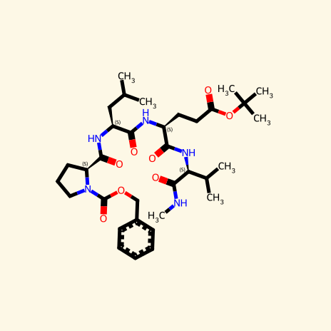 CNC(=O)[C@@H](NC(=O)[C@H](CCC(=O)OC(C)(C)C)NC(=O)[C@H](CC(C)C)NC(=O)[C@@H]1CCCN1C(=O)OCc1ccccc1)C(C)C